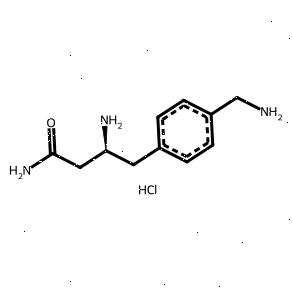 Cl.NCc1ccc(C[C@H](N)CC(N)=O)cc1